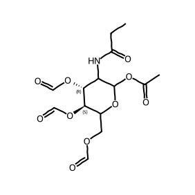 CCC(=O)NC1C(OC(C)=O)OC(COC=O)[C@@H](OC=O)[C@@H]1OC=O